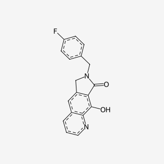 O=C1c2c(cc3cccnc3c2O)CN1Cc1ccc(F)cc1